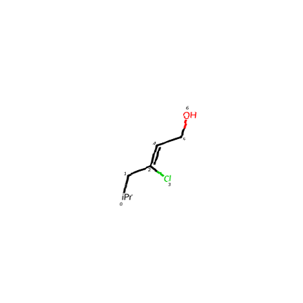 CC(C)CC(Cl)=CCO